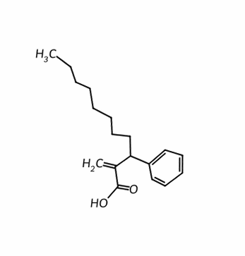 C=C(C(=O)O)C(CCCCCCCC)c1ccccc1